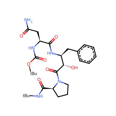 CC(C)(C)NC(=O)[C@@H]1CCCN1C(=O)[C@@H](O)[C@H](Cc1ccccc1)NC(=O)[C@H](CC(N)=O)NC(=O)OC(C)(C)C